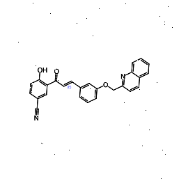 N#Cc1ccc(O)c(C(=O)/C=C/c2cccc(OCc3ccc4ccccc4n3)c2)c1